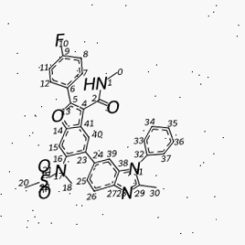 CNC(=O)c1c(-c2ccc(F)cc2)oc2cc(N(C)S(C)(=O)=O)c(-c3ccc4nc(C)n(-c5ccccc5)c4c3)cc12